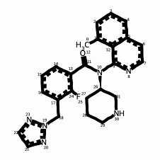 Cc1cccc2ccnc(N(C(=O)c3cccc(Cn4nccn4)c3F)[C@@H]3CCCNC3)c12